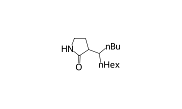 CCCCCCC(CCCC)C1CCNC1=O